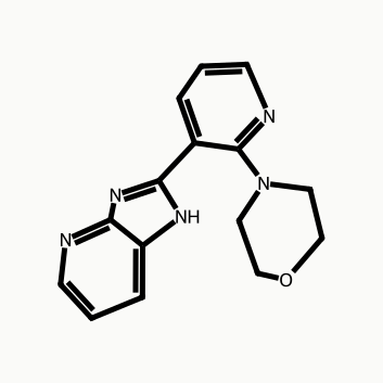 c1cnc(N2CCOCC2)c(-c2nc3ncccc3[nH]2)c1